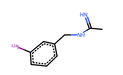 CC(=N)NCc1cccc([124I])c1